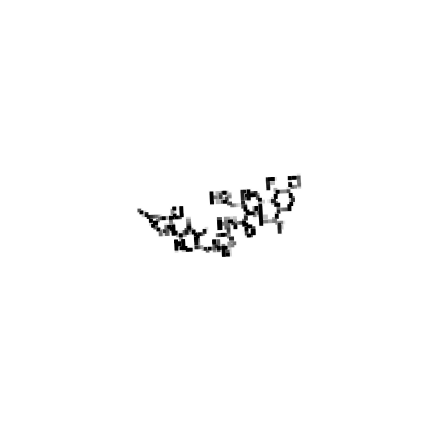 Cc1c(C(C)n2cc(NC(=O)c3nc(-c4c(C(F)F)ccc(Cl)c4F)cnc3CO)cn2)cnc(N2CC3C(C)C3C2=O)c1C